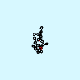 c1ccc(-c2ccc3c(c2)c2cc(-c4ccccc4)cc4c5c6c7cc(N(c8ccccc8)c8cccc(-c9cc%10c(c%11cc(-c%12ccccc%12)cc%12c%13cc(-c%14ccccc%14)ccc%13n%10c%12%11)c%10c%11c(N(c%12ccccc%12)c%12ccccc%12)ccc%12c%13ccccc%13n(c9%10)c%12%11)c8)cc8c9ccccc9n(c6ccc5n3c24)c87)cc1